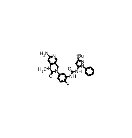 CN1C(=O)N(c2ccc(F)c(NC(=O)Nc3cc(C(C)(C)C)nn3-c3ccccc3)c2)Cc2cnc(N)cc21